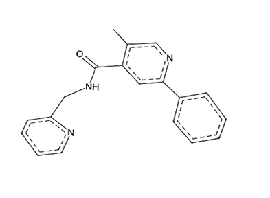 Cc1cnc(-c2ccccc2)cc1C(=O)NCc1ccccn1